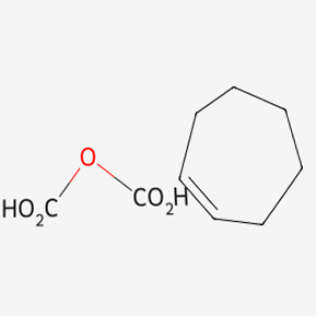 C1=CCCCCC1.O=C(O)OC(=O)O